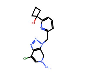 NN1C=C(Cl)c2nnn(Cc3cccc(C4(O)CCC4)n3)c2C1